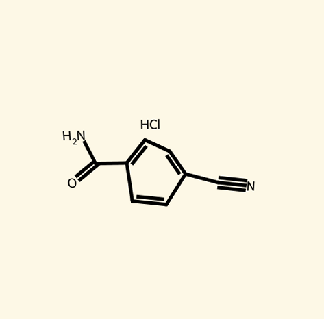 Cl.N#Cc1ccc(C(N)=O)cc1